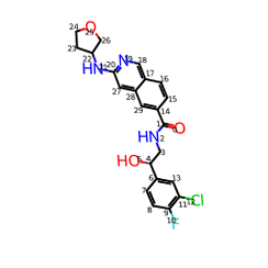 O=C(NC[C@H](O)c1ccc(F)c(Cl)c1)c1ccc2cnc(NC3CCOC3)cc2c1